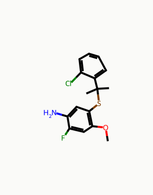 COc1cc(F)c(N)cc1SC(C)(C)c1ccccc1Cl